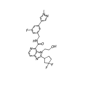 Cn1cc(-c2cc(F)cc(CNC(=O)c3nccc4nc(C5CCC(F)(F)C5)n(CCO)c34)c2)cn1